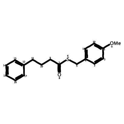 COc1ccc(CSC(=O)CCCc2ccccc2)cc1